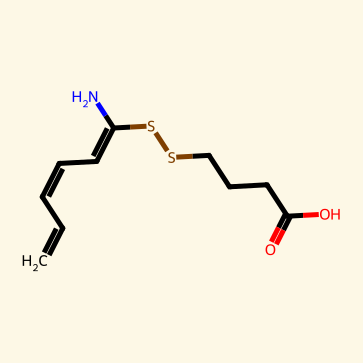 C=C/C=C\C=C(/N)SSCCCC(=O)O